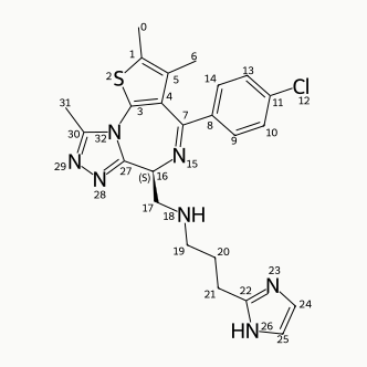 Cc1sc2c(c1C)C(c1ccc(Cl)cc1)=N[C@@H](CNCCCc1ncc[nH]1)c1nnc(C)n1-2